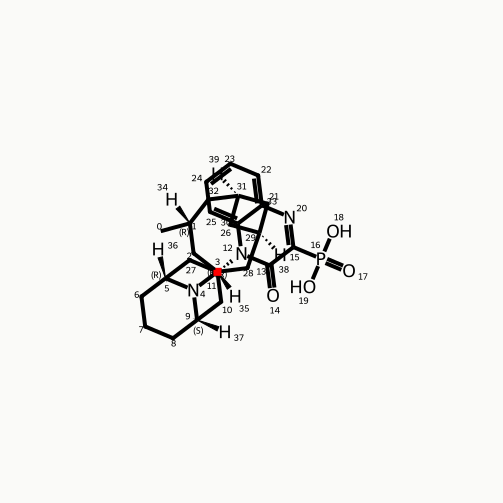 C[C@H]1C[C@@H](N2[C@@H]3CCC[C@H]2C[C@@H](n2c(=O)c(P(=O)(O)O)nc4ccccc42)C3)C[C@H]2C[C@@H](C1)C2